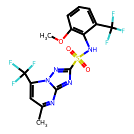 COc1cccc(C(F)(F)F)c1NS(=O)(=O)c1nc2nc(C)cc(C(F)(F)F)n2n1